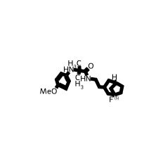 COc1ccc(NC(C)(C)C(=O)NCCC2C[C@@H]3CC[C@@](F)(C2)C3)cc1